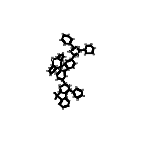 CC1(C)c2ccccc2-c2c(-c3ccccc3)nc(-c3ccc4c(c3)-c3ccc(-c5nc(-c6ccccc6)nc(-c6ccccc6)n5)cc3C43c4ccccc4Oc4ccccc43)nc21